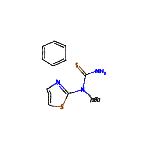 CCCCN(C(N)=S)c1nccs1.c1ccccc1